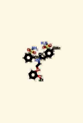 CCOc1ccccc1OCCNC(C)Cc1ccc(OC)c(S(N)(=O)=O)c1.COc1ccccc1S(N)(=O)=O